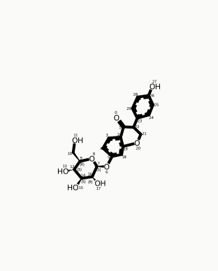 O=C1c2ccc(O[C@@H]3O[C@H](CO)[C@@H](O)[C@H](O)[C@H]3O)cc2OCC1c1ccc(O)cc1